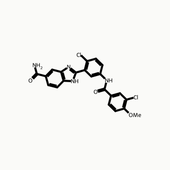 COc1ccc(C(=O)Nc2ccc(Cl)c(-c3nc4cc(C(N)=O)ccc4[nH]3)c2)cc1Cl